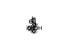 CC(C)(C)OC(=O)N1CC[C@H](O)[C@@H](n2c3ccccc3c3ccccc32)C1